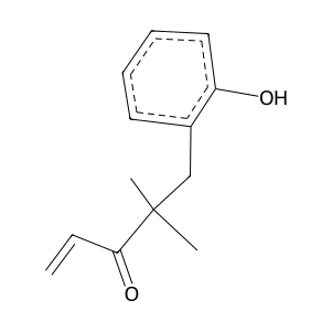 C=CC(=O)C(C)(C)Cc1ccccc1O